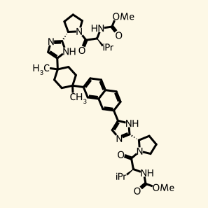 COC(=O)N[C@H](C(=O)N1CCC[C@H]1c1ncc(-c2ccc3ccc(C4(C)CCC(C)(c5cnc([C@@H]6CCCN6C(=O)[C@@H](NC(=O)OC)C(C)C)[nH]5)CC4)cc3c2)[nH]1)C(C)C